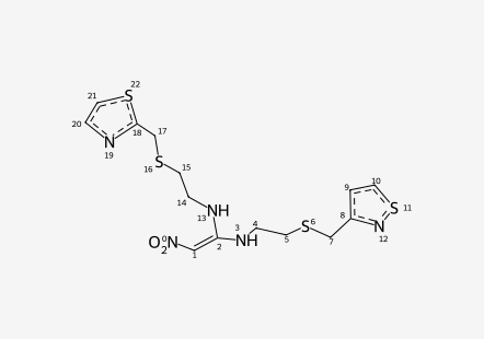 O=[N+]([O-])C=C(NCCSCc1ccsn1)NCCSCc1nccs1